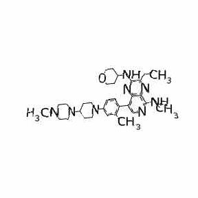 CCc1nc2c(NC)ncc(-c3ccc(N4CCC(N5CCN(C)CC5)CC4)cc3C)c2nc1NC1CCOCC1